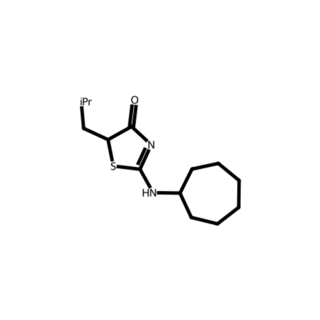 CC(C)CC1SC(NC2CCCCCC2)=NC1=O